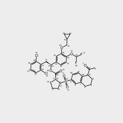 CC(=O)N1CCCc2cc(S(=O)(=O)N3CCS[C@H]3C(=O)O[C@@H](Cc3c(Cl)cncc3Cl)c3ccc(OC(F)F)c(OCC4CC4)c3)ccc21